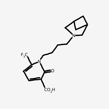 O=C(O)c1ccc(C(F)(F)F)n(CCCCN2CC3CC(C3)C2)c1=O